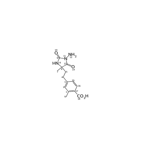 Cc1cc(CCC2(C)NC(=O)N(N)C2=O)ccc1C(=O)O